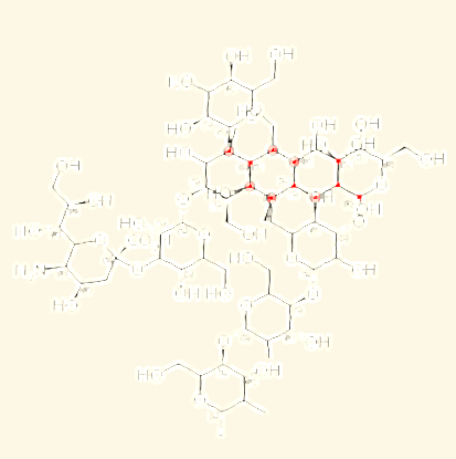 CC1C(O)[C@H](O[C@@H]2OC(CO)[C@H](O)C(O[C@]3(C(=O)O)C[C@@H](O)[C@@H](N)C([C@H](O)[C@H](O)CO)O3)[C@@H]2O)[C@H](CO)O[C@H]1O[C@@H]1C(O)[C@H](O)C(CO)O[C@@H]1OCC1O[C@@H](O[C@@H]2C(CO)O[C@@H](O[C@@H]3C(CO)O[C@@H](C)C(C)[C@H]3O)C(C)[C@H]2O)C(O)[C@@H](O[C@H]2O[C@H](CO)[C@@H](O)C(O)C2O[C@@H]2OC(CO)[C@@H](O[C@@H]3OC(CO)[C@H](O)C(O)[C@@H]3O)C(O)[C@@H]2C)[C@@H]1O